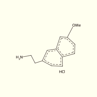 COc1ccc2ccc(CCN)cc2c1.Cl